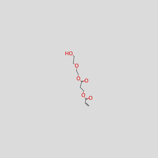 C=CC(=O)OCCC(=O)OCCOCCO